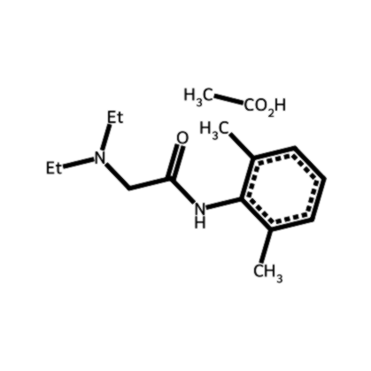 CC(=O)O.CCN(CC)CC(=O)Nc1c(C)cccc1C